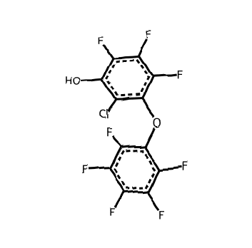 Oc1c(F)c(F)c(F)c(Oc2c(F)c(F)c(F)c(F)c2F)c1Cl